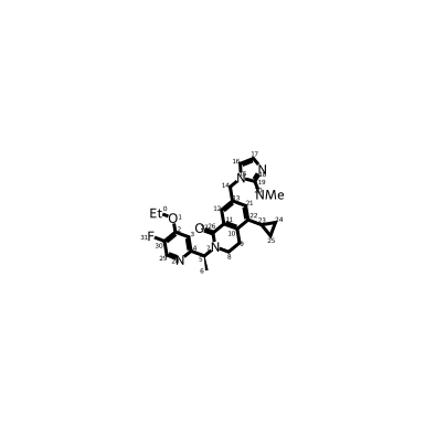 CCOc1cc([C@H](C)N2CCc3c(cc(Cn4ccnc4NC)cc3C3CC3)C2=O)ncc1F